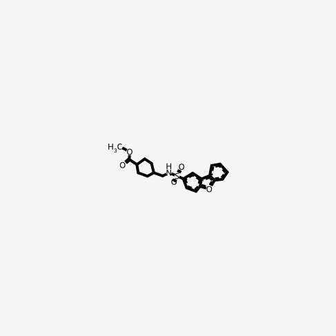 COC(=O)C1CCC(CNS(=O)(=O)c2ccc3oc4ccccc4c3c2)CC1